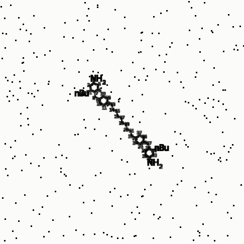 CCCCc1cc(N)ccc1Cc1ccc(CCCCCCCCCCc2ccc(Cc3ccc(N)cc3CCCC)cc2)cc1